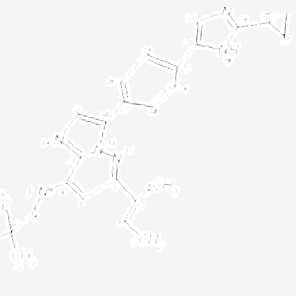 C/C=C(\C)c1cc(NCC(C)(C)O)c2ncc(-c3ccc(-c4cnc(C5CC5)[nH]4)cc3)n2n1